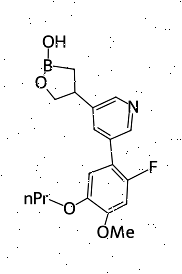 CCCOc1cc(-c2cncc(C3COB(O)C3)c2)c(F)cc1OC